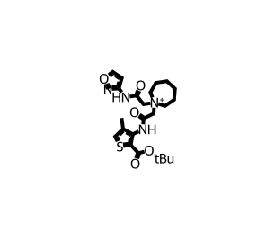 Cc1csc(C(=O)OC(C)(C)C)c1NC(=O)C[N+]1(CC(=O)Nc2ccon2)CCCCCC1